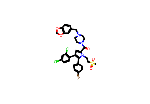 CS(=O)(=O)CCn1c(C(=O)N2CCN(Cc3ccc4c(c3)OCO4)CC2)cc(-c2ccc(Cl)cc2Cl)c1-c1ccc(Br)cc1